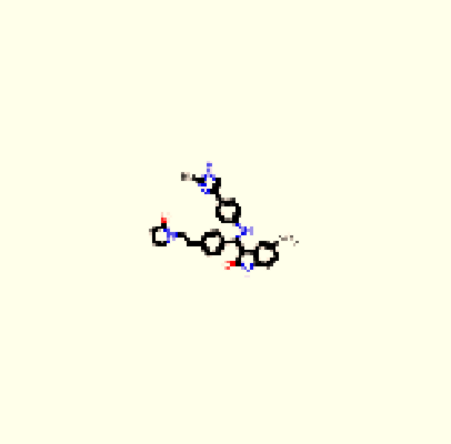 CCc1nc(-c2ccc(NC(=C3C(=O)Nc4ccc([N+](=O)[O-])cc43)c3ccc(CCN4CCCC4=O)cc3)cc2)c[nH]1